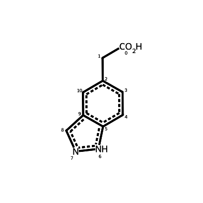 O=C(O)Cc1ccc2[nH]ncc2c1